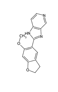 COc1cc2c(cc1-c1nc3cnccc3[nH]1)CCO2